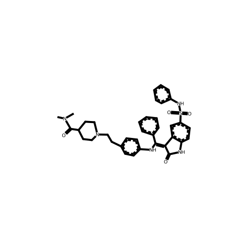 CN(C)C(=O)C1CCN(CCc2ccc(N/C(=C3\C(=O)Nc4ccc(S(=O)(=O)Nc5ccccc5)cc43)c3ccccc3)cc2)CC1